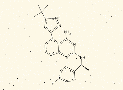 C[C@H](Nc1nc(N)c2c(-c3cc(C(C)(C)C)[nH]n3)cccc2n1)c1ccc(F)cc1